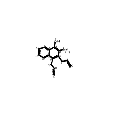 C=CCc1c(N)c(O)c2ccccc2c1CC=C